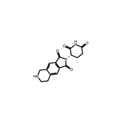 O=C1CC[C@H](N2C(=O)c3cc4c(cc3C2=O)CNCC4)C(=O)N1